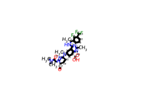 Cc1nc(N[C@H](C)c2cccc(C(F)F)c2F)c2cc(N(C)C3=NN(CC(=O)N(C)C)C(=C=O)C=C3)ccc2n1.O=CO